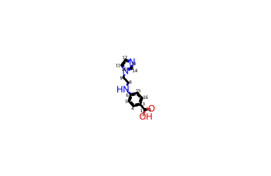 O=C(O)c1ccc(NCCn2ccnc2)cc1